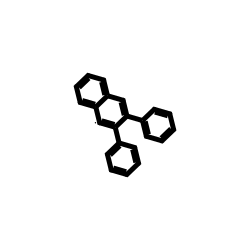 [c]1c(-c2ccccc2)c(-c2ccccc2)cc2ccccc12